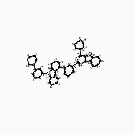 c1ccc(-c2cccc(-n3c4ccccc4c4c(-c5cccc(-c6nc(-c7ccccc7)c7oc8ccccc8c7n6)c5)cccc43)c2)cc1